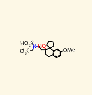 COc1ccc2c(c1)C1(CCCC1)C(O)(CCN(CC(Cl)(Cl)Cl)C(=O)O)CC2